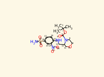 CC(C)(C)OC(=O)N1CCOCC1CNc1ccc(S(N)(=O)=O)cc1[N+](=O)[O-]